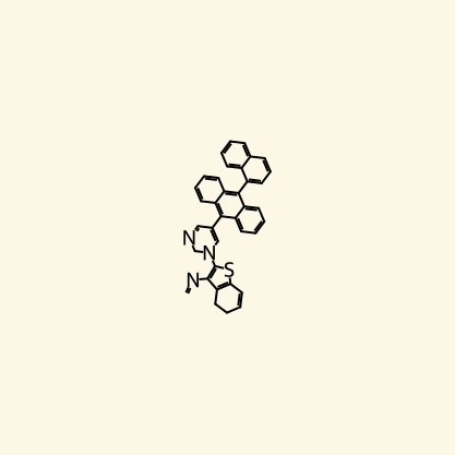 C=Nc1c(N2C=C(c3c4ccccc4c(-c4cccc5ccccc45)c4ccccc34)C=NC2)sc2c1CCC=C2